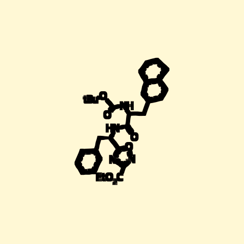 CCOC(=O)c1noc([C@@H](Cc2ccccc2)NC(=O)C(Cc2ccc3ccccc3c2)NC(=O)OC(C)(C)C)n1